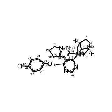 Cc1cc(N2C[C@H]3CC[C@@H](C2)C3Nc2nc3n(n2)CC[C@H]3Oc2ccc(Cl)cc2)ncn1